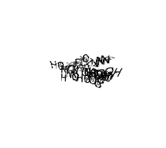 [N-]=[N+]=NC[C@]1(COP(=O)(O)OP(=O)(O)OP(=O)(O)O)OC[C@@](F)(Cn2ccc(NO)nc2=O)[C@@H]1O